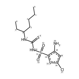 CCCCC(CC)NC(=S)NS(=O)(=O)c1sc(Cl)cc1N